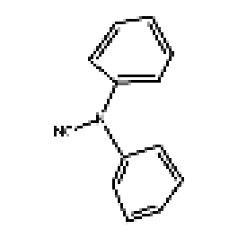 N#CN(c1ccccc1)c1ccccc1